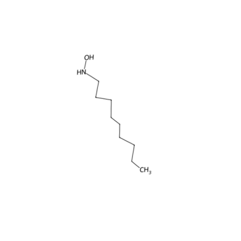 CCCCCCCCCNO